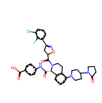 O=C(O)c1ccc(NC(=O)[C@H]2c3cccc(N4CCC(N5CCCC5=O)CC4)c3CCN2C(=O)C2CC(c3cccc(Cl)c3F)=NO2)cc1